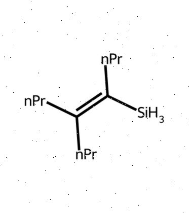 CCCC([SiH3])=C(CCC)CCC